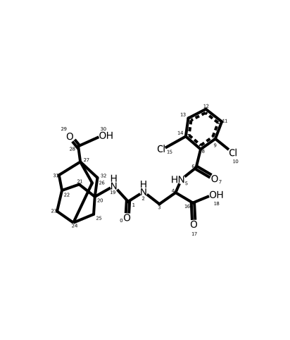 O=C(NCC(NC(=O)c1c(Cl)cccc1Cl)C(=O)O)NC12CC3CC(C1)CC(C(=O)O)(C3)C2